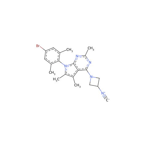 [C-]#[N+]C1CN(c2nc(C)nc3c2c(C)c(C)n3-c2c(C)cc(Br)cc2C)C1